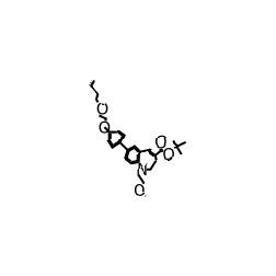 CCCCOCCOc1ccc(-c2ccc3c(c2)C=C(C(=O)OC(C)(C)C)CCN3CCOC)cc1